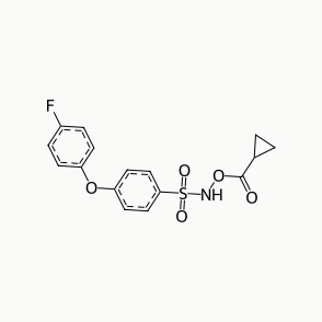 O=C(ONS(=O)(=O)c1ccc(Oc2ccc(F)cc2)cc1)C1CC1